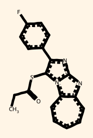 CCC(=O)Sc1c(-c2ccc(F)cc2)nc2nc3cccccc3n12